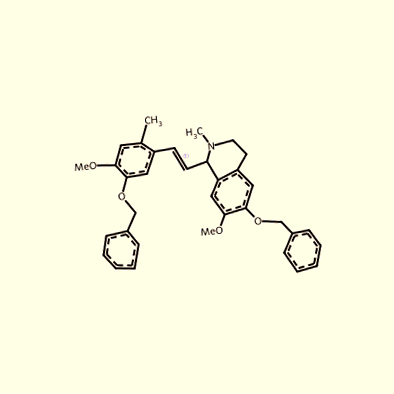 COc1cc(C)c(/C=C/C2c3cc(OC)c(OCc4ccccc4)cc3CCN2C)cc1OCc1ccccc1